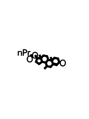 CCCC(=O)OC1CCC2C3C(C)CC4=CC(=O)CCC4(C)C3CCC12C